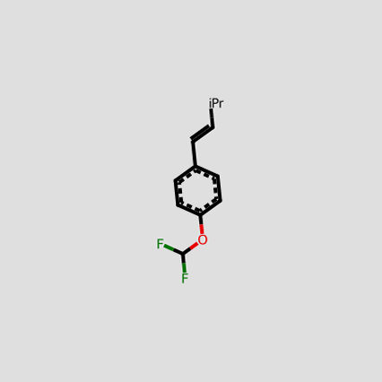 CC(C)/C=C/c1ccc(OC(F)F)cc1